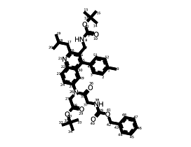 Cc1ccc(-c2c(CNC(=O)OC(C)(C)C)c(CC(C)C)nc3ccc(N(CC(=O)OC(C)(C)C)C(=O)CNC(=O)OCc4ccccc4)cc23)cc1